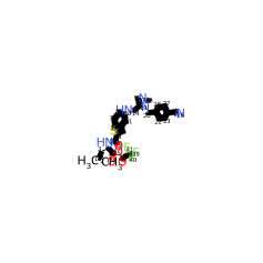 CC(C)C[C@H](NC(=O)c1cc2cc(NCc3cncn3Cc3ccc(C#N)cc3)ccc2s1)C(=O)OC(=O)C(F)(F)F